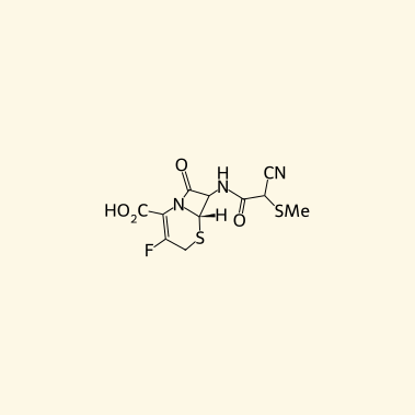 CSC(C#N)C(=O)NC1C(=O)N2C(C(=O)O)=C(F)CS[C@@H]12